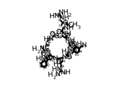 CC(=O)N[C@@H](CCCNC(=N)N)C(=O)N[C@H]1CCC(=O)NCCC[C@@H](C(N)=O)NC(=O)[C@H](Cc2c[nH]c3ccccc23)NC(=O)[C@H](CCCNC(=N)N)NC(=O)[C@@H](Cc2ccc(C#N)cc2)NC(=O)[C@H](CO)NC1=O